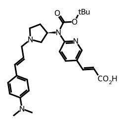 CN(C)c1ccc(/C=C/CN2CC[C@@H](N(C(=O)OC(C)(C)C)c3ccc(/C=C/C(=O)O)cn3)C2)cc1